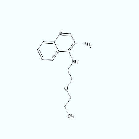 Nc1cnc2ccccc2c1NCCOCCO